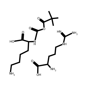 CC(C)(C)C(=O)OC(=O)NC(CCCCN)C(=O)O.N=C(N)NCCCC(N)C(=O)O